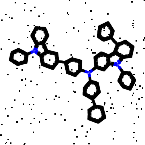 c1ccc(-c2ccc(N(c3ccc(-c4ccc5c(c4)c4ccccc4n5-c4ccccc4)cc3)c3ccc4c5c(-c6ccccc6)cccc5n(-c5ccccc5)c4c3)cc2)cc1